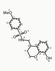 COc1ccc(S(=O)(=O)NCC2CCOc3c(O)cccc32)cc1